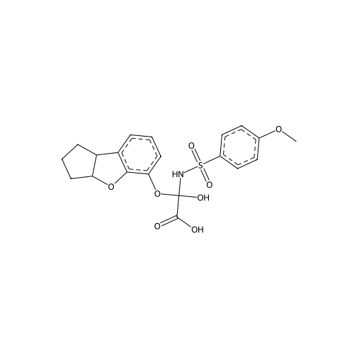 COc1ccc(S(=O)(=O)NC(O)(Oc2cccc3c2OC2CCCC32)C(=O)O)cc1